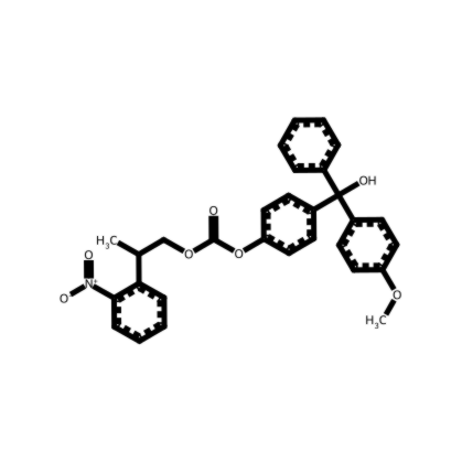 COc1ccc(C(O)(c2ccccc2)c2ccc(OC(=O)OCC(C)c3ccccc3[N+](=O)[O-])cc2)cc1